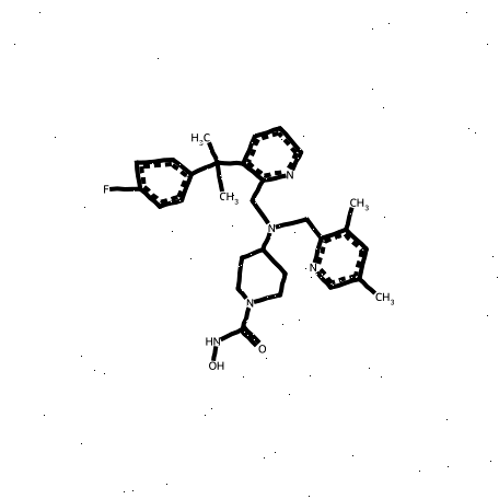 Cc1cnc(CN(Cc2ncccc2C(C)(C)c2ccc(F)cc2)C2CCN(C(=O)NO)CC2)c(C)c1